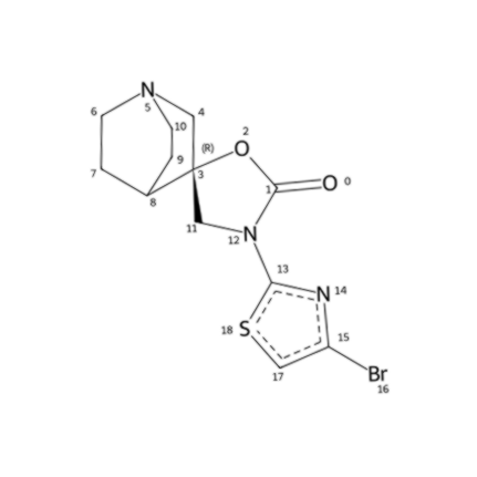 O=C1O[C@]2(CN3CCC2CC3)CN1c1nc(Br)cs1